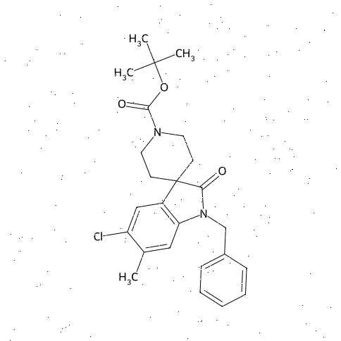 Cc1cc2c(cc1Cl)C1(CCN(C(=O)OC(C)(C)C)CC1)C(=O)N2Cc1ccccc1